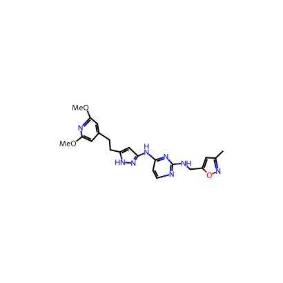 COc1cc(CCc2cc(Nc3ccnc(NCc4cc(C)no4)n3)n[nH]2)cc(OC)n1